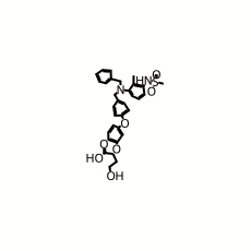 Cc1c(NS(C)(=O)=O)cccc1N(Cc1ccccc1)Cc1ccc(Oc2cccc(OC(CCO)C(=O)O)c2)cc1